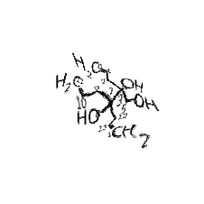 C=CCC(O)(CO)C(O)(CC=C)CC=C